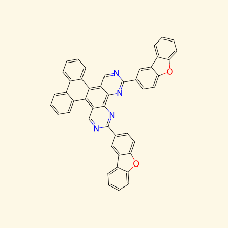 c1ccc2c(c1)oc1ccc(-c3ncc4c(n3)c3nc(-c5ccc6oc7ccccc7c6c5)ncc3c3c5ccccc5c5ccccc5c43)cc12